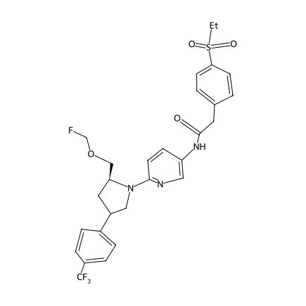 CCS(=O)(=O)c1ccc(CC(=O)Nc2ccc(N3CC(c4ccc(C(F)(F)F)cc4)C[C@H]3COCF)nc2)cc1